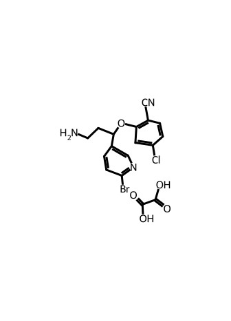 N#Cc1ccc(Cl)cc1OC(CCN)c1ccc(Br)nc1.O=C(O)C(=O)O